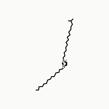 CCCCCCCCCCCCCCn1cc[n+](CCCCCCCCCCCCCCC(C)C)c1